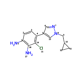 Nc1ccc(-c2cnn(CC3CC3)c2)c(Cl)c1N